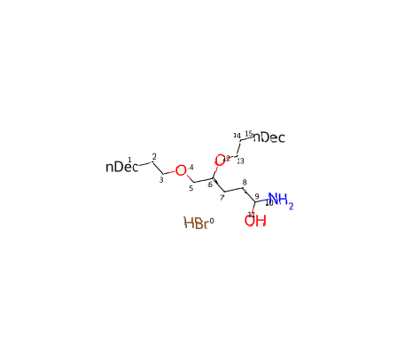 Br.CCCCCCCCCCCCOCC(CCC(N)O)OCCCCCCCCCCCC